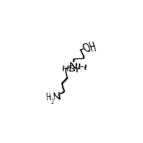 Br.NCCCCNCCCO